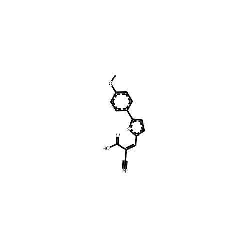 COc1ccc(-c2ccc(C=C(C#N)C(=O)O)s2)cc1